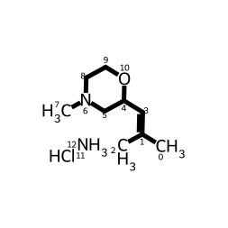 CC(C)=CC1CN(C)CCO1.Cl.N